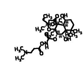 C=C[C@@]1(C)CC(=O)[C@]2(O)[C@@]3(C)[C@@H](O)CCC(C)(C)[C@@H]3[C@H](O)[C@H](OC(=O)NOC(=O)CCN(C)C)[C@@]2(C)O1